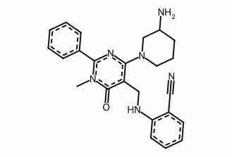 Cn1c(-c2ccccc2)nc(N2CCCC(N)C2)c(CNc2ccccc2C#N)c1=O